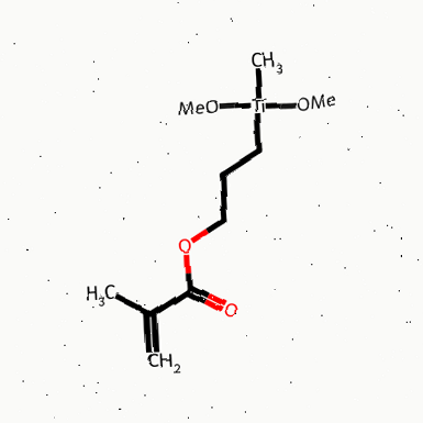 C=C(C)C(=O)OCC[CH2][Ti]([CH3])([O]C)[O]C